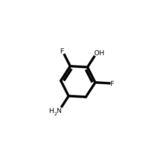 NC1C=C(F)C(O)=C(F)C1